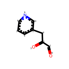 O=CC(=O)Cc1cccnc1